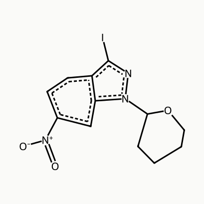 O=[N+]([O-])c1ccc2c(I)nn(C3CCCCO3)c2c1